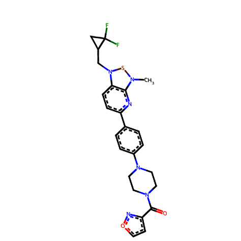 CN1SN(CC2CC2(F)F)c2ccc(-c3ccc(N4CCN(C(=O)c5ccon5)CC4)cc3)nc21